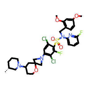 COc1ccc(CN(c2cccc(F)n2)S(=O)(=O)c2c(Cl)cc(N3CC4(CC(N5CCC[C@@H](C)C5)CCO4)C3)c(Cl)c2F)c(OC)c1